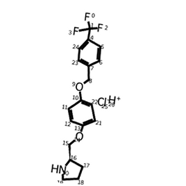 FC(F)(F)c1ccc(COc2ccc(OC[C@H]3CCCN3)cc2)cc1.[Cl-].[H+]